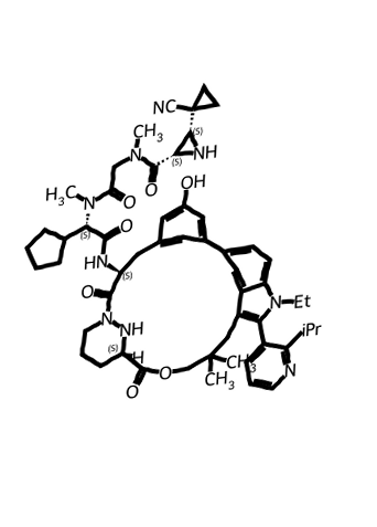 CCn1c(-c2cccnc2C(C)C)c2c3cc(ccc31)-c1cc(O)cc(c1)C[C@H](NC(=O)[C@H](C1CCCC1)N(C)C(=O)CN(C)C(=O)[C@H]1N[C@H]1C1(C#N)CC1)C(=O)N1CCC[C@H](N1)C(=O)OCC(C)(C)C2